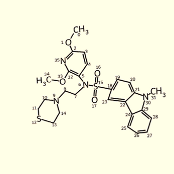 COc1ccc(N(CCN2CCSCC2)S(=O)(=O)c2ccc3c(c2)c2ccccc2n3C)c(OC)n1